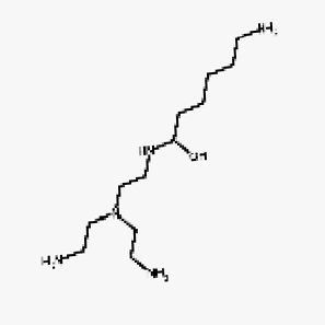 NCCCCCC(O)NCCN(CCN)CCN